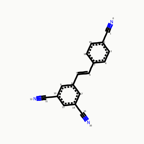 N#Cc1ccc(/C=C/c2cc(C#N)cc(C#N)c2)cc1